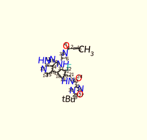 CC#CC(=O)N1CC(Nc2n[nH]c3nccc(-c4ccc(CNC(=O)c5noc(C(C)(C)C)n5)c(F)c4)c23)C1